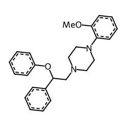 COc1ccccc1N1CCN(CC(Oc2ccccc2)c2ccccc2)CC1